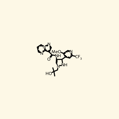 COc1cnc(C(F)(F)F)cc1C1NN(CC(C)(C)O)C=C1NC(=O)c1cnn2cccnc12